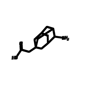 NC1C2CC3CC1CC(CC(=O)O)(C3)C2